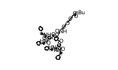 CCCCOC(=O)CCOCCOCCOCCNC(=O)COc1cc(C(=O)N2C[C@@H](C(=O)N[C@H]3C[C@@H]3c3ccccc3)[C@H](C(=O)N[C@H]3C[C@@H]3c3ccccc3)C2)ccc1C(=O)N1C[C@@H](C(=O)N[C@H]2C[C@@H]2c2ccccc2)[C@H](C(=O)N[C@H]2C[C@@H]2c2ccccc2)C1